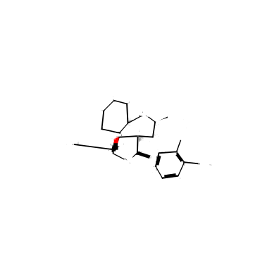 C[C@@H]1NC2(CCCCC2)[C@@]2(C(=O)Nc3cc(Cl)ccc32)[C@H]1c1cccc(Cl)c1F